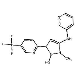 CN1C(Nc2cccnc2)=CC(c2ccc(C(F)(F)F)cn2)N1O